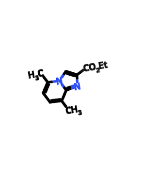 CCOC(=O)c1cn2c(C)ccc(C)c2n1